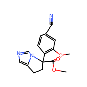 COC(=O)C1(c2ccc(C#N)cc2OC)CCc2cncn21